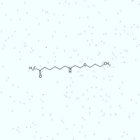 CCCCOCCNCCCCCC(C)=O